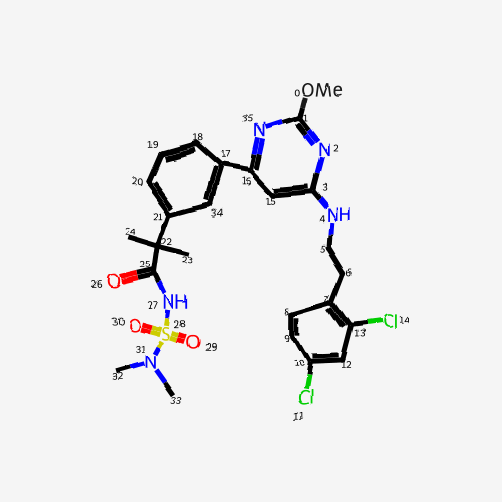 COc1nc(NCCc2ccc(Cl)cc2Cl)cc(-c2cccc(C(C)(C)C(=O)NS(=O)(=O)N(C)C)c2)n1